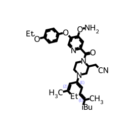 CCOc1ccc(Oc2cnc(C(=O)N3CCN(C(/C=C(/C)CC)=C/C=C(\C)C(C)CC)CC3CC#N)cc2ON)cc1